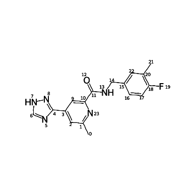 Cc1cc(-c2nc[nH]n2)cc(C(=O)NCc2ccc(F)c(C)c2)n1